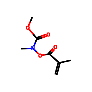 C=C(C)C(=O)ON(C)C(=O)OC